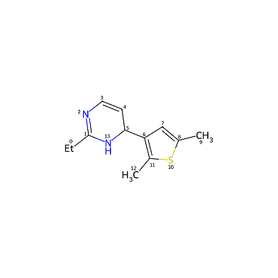 CCC1=NC=CC(c2cc(C)sc2C)N1